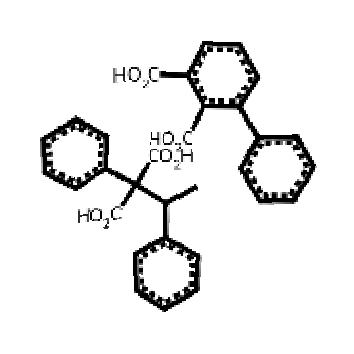 CC(c1ccccc1)C(C(=O)O)(C(=O)O)c1ccccc1.O=C(O)c1cccc(-c2ccccc2)c1C(=O)O